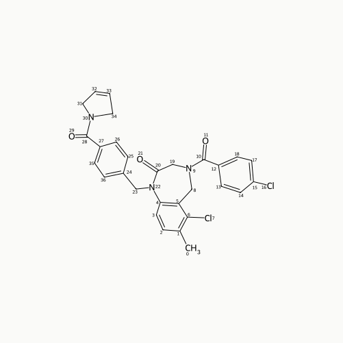 Cc1ccc2c(c1Cl)CN(C(=O)c1ccc(Cl)cc1)CC(=O)N2Cc1ccc(C(=O)N2CC=CC2)cc1